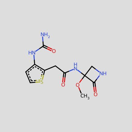 COC1(NC(=O)Cc2sccc2NC(N)=O)CNC1=O